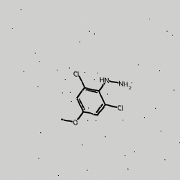 COc1cc(Cl)c(NN)c(Cl)c1